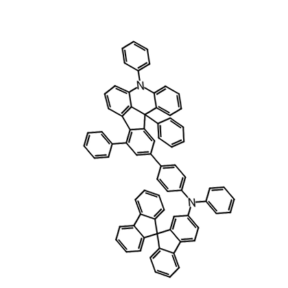 c1ccc(-c2cc(-c3ccc(N(c4ccccc4)c4ccc5c(c4)C4(c6ccccc6-c6ccccc64)c4ccccc4-5)cc3)cc3c2-c2cccc4c2C3(c2ccccc2)c2ccccc2N4c2ccccc2)cc1